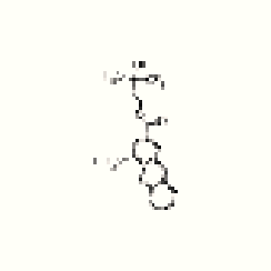 O=C(OCCC(O)(C(F)(F)F)C(F)(F)F)c1cc(S(=O)(=O)O)c2cc3ccccc3cc2c1